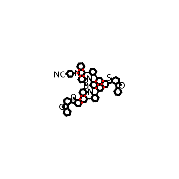 N#Cc1ccc(N(c2ccccc2)c2ccc3c(c2)N(c2c(-c4ccccc4)cccc2-c2ccccc2)c2cc(-c4ccc5c(c4)sc4ccc6oc7ccccc7c6c45)cc4c2B3c2ccc(-c3cccc5c3oc3ccc6oc7ccccc7c6c35)cc2N4c2c(-c3ccccc3)cccc2-c2ccccc2)cc1